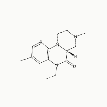 CCN1C(=O)[C@H]2CN(C)CCN2c2ncc(C)cc21